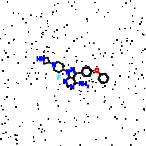 Nc1ncnc2c1c(-c1ccc(Oc3ccccc3)cc1)nn2C1CCN(C2CNC2)C[C@H]1F